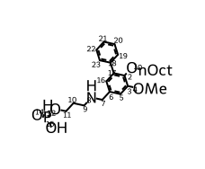 CCCCCCCCOc1c(OC)cc(CNCCCO[PH](=O)O)cc1-c1ccccc1